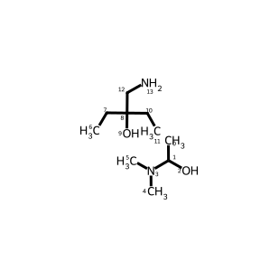 CC(O)N(C)C.CCC(O)(CC)CN